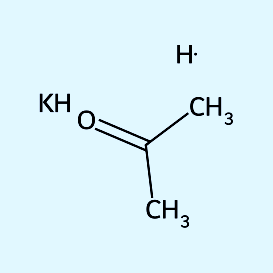 CC(C)=O.[H].[KH]